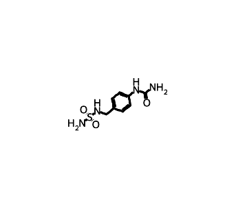 NC(=O)Nc1ccc(CNS(N)(=O)=O)cc1